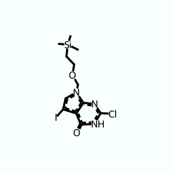 C[Si](C)(C)CCOCn1cc(I)c2c(=O)[nH]c(Cl)nc21